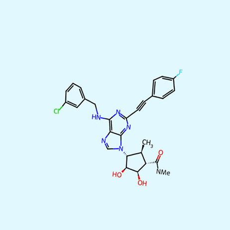 CNC(=O)[C@H]1[C@H](C)[C@@H](n2cnc3c(NCc4cccc(Cl)c4)nc(C#Cc4ccc(F)cc4)nc32)[C@H](O)[C@@H]1O